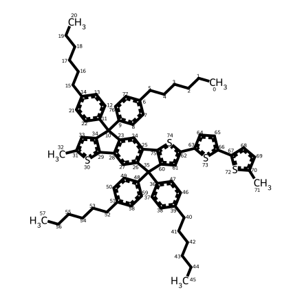 CCCCCCc1ccc(C2(c3ccc(CCCCCC)cc3)c3cc4c(cc3-c3sc(C)cc32)C(c2ccc(CCCCCC)cc2)(c2ccc(CCCCCC)cc2)c2cc(-c3ccc(-c5ccc(C)s5)s3)sc2-4)cc1